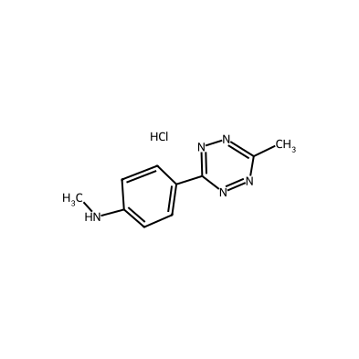 CNc1ccc(-c2nnc(C)nn2)cc1.Cl